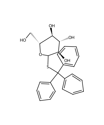 OC[C@H]1OC(SC(c2ccccc2)(c2ccccc2)c2ccccc2)[C@H](O)[C@@H](O)[C@@H]1O